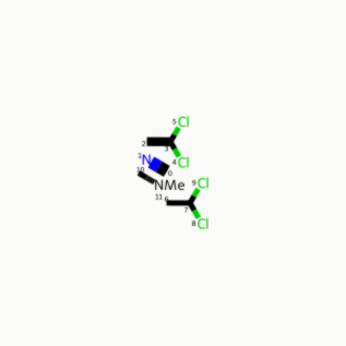 C#N.C=C(Cl)Cl.CC(Cl)Cl.CNC